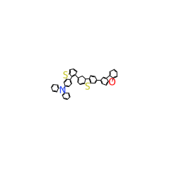 C1=C(c2cccc3sc4cc(N(c5ccccc5)c5ccccc5)ccc4c23)CC2C(=C1)Sc1cc(-c3ccc4oc5ccccc5c4c3)ccc12